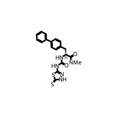 CNC(=O)[C@H](Cc1ccc(-c2ccccc2)cc1)NC(=O)Nc1n[nH]c(=S)s1